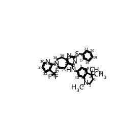 CN1CCC(C)(C)c2ccc(Nc3nc(Sc4ccccc4)nc4c3CCN(c3ncccc3C(F)(F)F)CC4)cc21